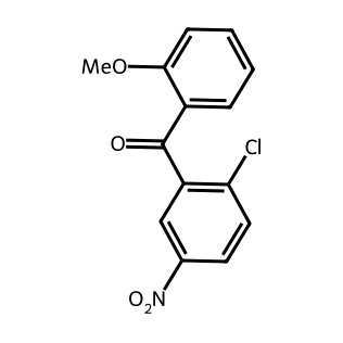 COc1ccccc1C(=O)c1cc([N+](=O)[O-])ccc1Cl